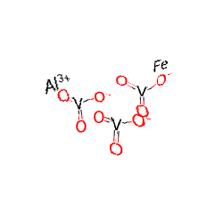 [Al+3].[Fe].[O]=[V](=[O])[O-].[O]=[V](=[O])[O-].[O]=[V](=[O])[O-]